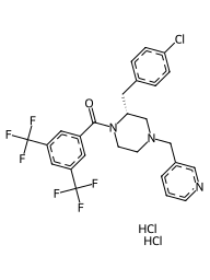 Cl.Cl.O=C(c1cc(C(F)(F)F)cc(C(F)(F)F)c1)N1CCN(Cc2cccnc2)C[C@H]1Cc1ccc(Cl)cc1